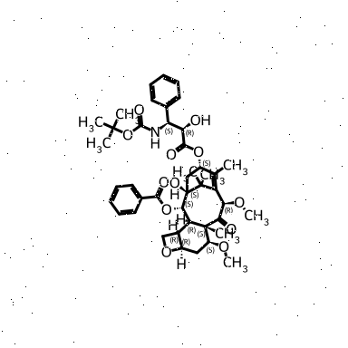 CO[C@H]1C(=O)[C@@]2(C)[C@@H]([C@@H]3CO[C@@H]3C[C@@H]2OC)[C@H](OC(=O)c2ccccc2)[C@]2(O)C[C@H](OC(=O)[C@H](O)[C@@H](NC(=O)OC(C)(C)C)c3ccccc3)C(C)=C1C2(C)C